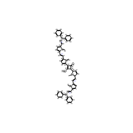 CN1C(/C=C/c2ccc(/C=N/N(c3ccccc3)c3ccccc3)n2C)C=CC1C1C(=O)C(c2ccc(/C=C/c3ccc(/C=N/N(c4ccccc4)c4ccccc4)n3C)n2C)=C1O